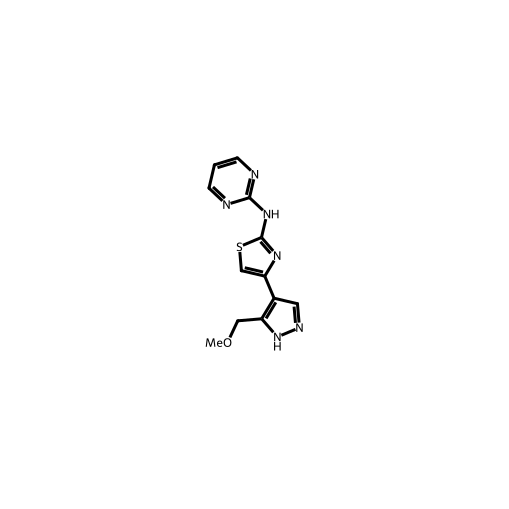 COCc1[nH]ncc1-c1csc(Nc2ncccn2)n1